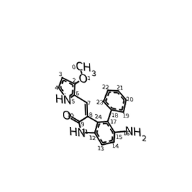 COc1cc[nH]c1C=C1C(=O)Nc2ccc(N)c(-c3ccccc3)c21